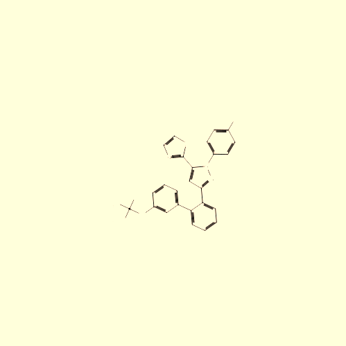 CC(C)(Oc1cccc(-c2ccccc2-c2cc(-c3nccs3)n(-c3ccc(Cl)cc3)n2)c1)C(=O)O